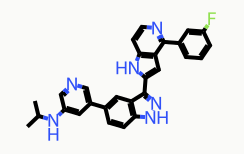 CC(C)Nc1cncc(-c2ccc3[nH]nc(-c4cc5c(-c6cccc(F)c6)nccc5[nH]4)c3c2)c1